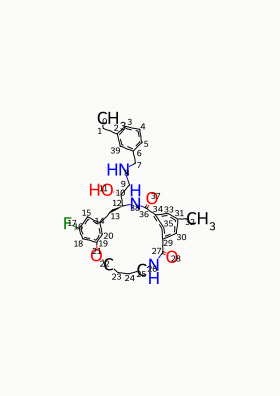 CCc1cccc(CNC[C@@H](O)[C@@H]2Cc3cc(F)cc(c3)OCCCCNC(=O)c3cc(C)cc(c3)C(=O)N2)c1